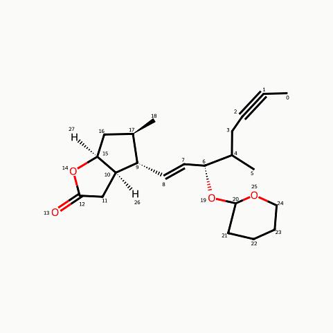 CC#CCC(C)[C@@H](/C=C/[C@@H]1[C@H]2CC(=O)O[C@H]2C[C@H]1C)OC1CCCCO1